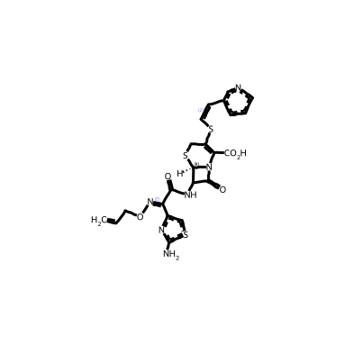 C=CCO/N=C(/C(=O)NC1C(=O)N2C(C(=O)O)=C(S/C=C\c3cccnc3)CS[C@H]12)c1csc(N)n1